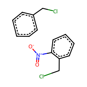 ClCc1ccccc1.O=[N+]([O-])c1ccccc1CCl